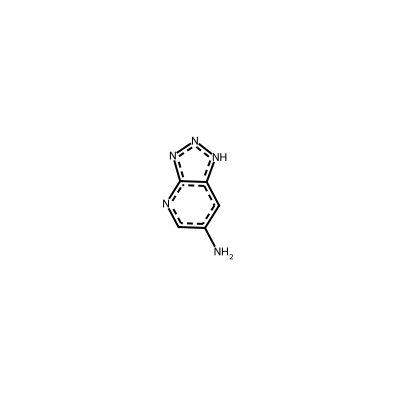 Nc1cnc2nn[nH]c2c1